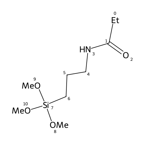 CCC(=O)NCCC[Si](OC)(OC)OC